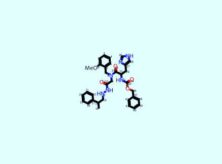 COc1ccccc1CN(CC(=O)NNCC(C)c1ccccc1)C(=O)C(Cc1c[nH]cn1)NC(=O)OCc1ccccc1